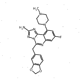 CN1CCN(c2cc(F)cc3nc(Cc4ccc5c(c4)OCO5)n4nc(N)nc4c23)CC1